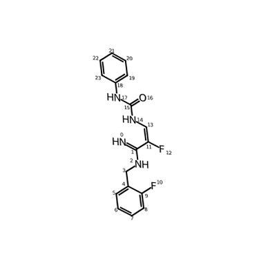 N=C(NCc1ccccc1F)/C(F)=C\NC(=O)Nc1ccccc1